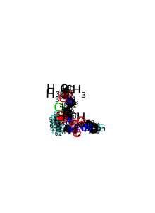 C[C@H](NC(=O)[C@@H]1C[C@@H](F)CN1C(=O)CNC(=O)c1ccc2cc(F)ccc2n1)c1cc(C2=CCCN(C(=O)OC(C)(C)C)C2)c(Cl)cc1OS(=O)(=O)C(F)(F)C(F)(F)C(F)(F)C(F)(F)F